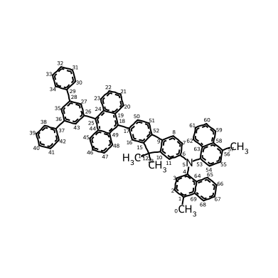 Cc1ccc(N(c2ccc3c(c2)C(C)(C)c2cc(-c4c5ccccc5c(-c5cc(-c6ccccc6)cc(-c6ccccc6)c5)c5ccccc45)ccc2-3)c2ccc(C)c3ccccc23)c2ccccc12